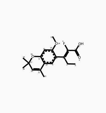 CCC(=C(F)C(=O)O)c1cc2c(cc1OC)OC(C)(C)C=C2C